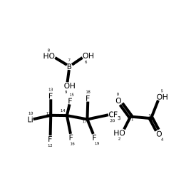 O=C(O)C(=O)O.OB(O)O.[Li][C](F)(F)C(F)(F)C(F)(F)C(F)(F)F